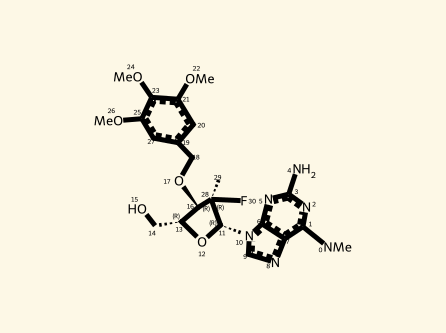 CNc1nc(N)nc2c1ncn2[C@@H]1O[C@H](CO)[C@@H](OCc2cc(OC)c(OC)c(OC)c2)[C@@]1(C)F